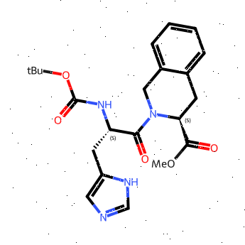 COC(=O)[C@@H]1Cc2ccccc2CN1C(=O)[C@H](Cc1cnc[nH]1)NC(=O)OC(C)(C)C